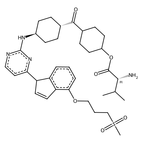 CC(C)[C@@H](N)C(=O)OC1CCC(C(=O)[C@H]2CC[C@H](Nc3nccc(C4C=Cc5c(OCCCS(C)(=O)=O)cccc54)n3)CC2)CC1